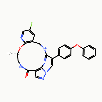 C[C@H]1CNC(=O)c2cnn3cc(-c4ccc(Oc5ccccc5)cc4)c(nc23)NCc2cc(F)cnc2O1